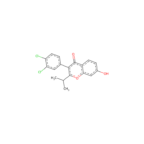 CC(C)c1oc2cc(O)ccc2c(=O)c1-c1ccc(Cl)c(Cl)c1